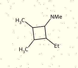 CCC1C(C)C(C)C1NC